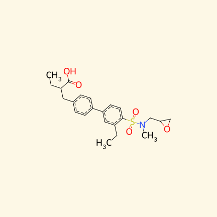 CCc1cc(-c2ccc(CC(CC)C(=O)O)cc2)ccc1S(=O)(=O)N(C)CC1CO1